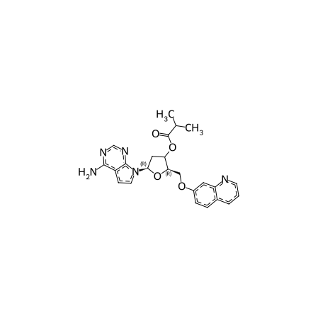 CC(C)C(=O)OC1C[C@H](n2ccc3c(N)ncnc32)O[C@@H]1COc1ccc2cccnc2c1